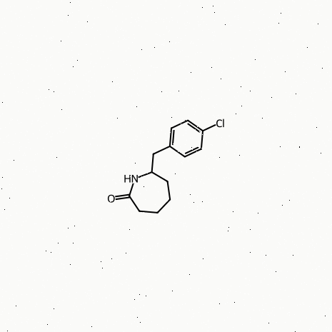 O=C1CCCCC(Cc2ccc(Cl)cc2)N1